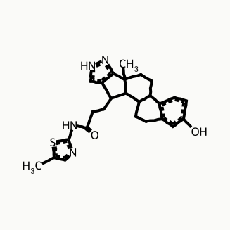 Cc1cnc(NC(=O)CCC2c3c[nH]nc3C3(C)CCC4c5ccc(O)cc5CCC4C23)s1